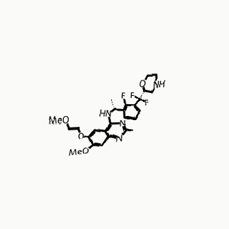 COCCOc1cc2c(N[C@H](C)c3cccc(C(F)(F)[C@H]4CNCCO4)c3F)nc(C)nc2cc1OC